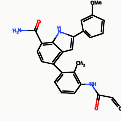 C=CC(=O)Nc1cccc(-c2ccc(C(N)=O)c3[nH]c(-c4cccc(OC)c4)cc23)c1C